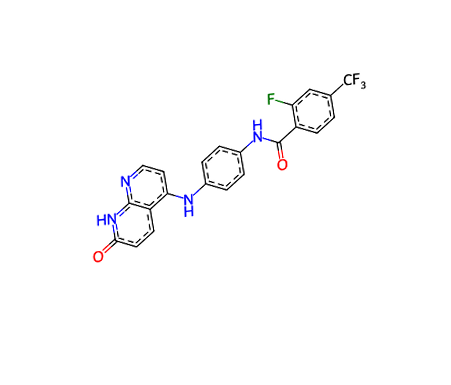 O=C(Nc1ccc(Nc2ccnc3[nH]c(=O)ccc23)cc1)c1ccc(C(F)(F)F)cc1F